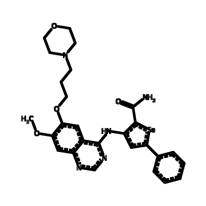 COc1cc2ncnc(Nc3cc(-c4ccccc4)[se]c3C(N)=O)c2cc1OCCCN1CCOCC1